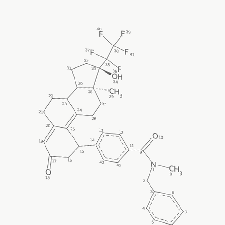 CN(Cc1ccccc1)C(=O)c1ccc(C2CC(=O)C=C3CCC4C(=C32)CC[C@@]2(C)C4CC[C@]2(O)C(F)(F)C(F)(F)F)cc1